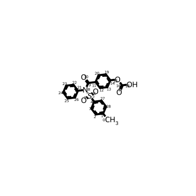 Cc1ccc(S(=O)(=O)N(C(=O)c2ccc(OC(=O)O)cc2)c2ccccc2)cc1